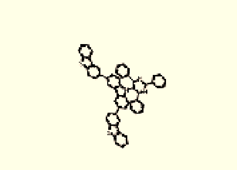 c1ccc(-c2nc(-c3ccccc3)c(-n3c4ccc(-c5ccc6sc7ccccc7c6c5)cc4c4cc(-c5ccc6sc7ccccc7c6c5)ccc43)c(-c3ccccc3)n2)cc1